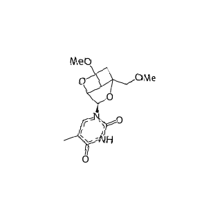 COCC12CC3(OC)OC(C13)[C@H](n1cc(C)c(=O)[nH]c1=O)O2